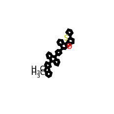 CC1(C)c2ccccc2-c2cc(-c3c4ccccc4c(-c4ccc(-c5cc6oc7ccc8c9ccccc9sc8c7c6c6ccccc56)cc4)c4ccccc34)ccc21